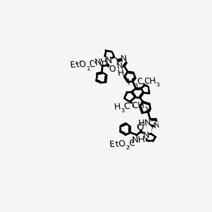 CCOC(=O)NC(C(=O)N1CCC[C@H]1c1ncc(-c2ccc(-c3c4c(c(-c5ccc(-c6cnc([C@@H]7CCCN7C(=O)C(NC(=O)OCC)c7ccccc7)[nH]6)cc5)c5c3C(C)(C)CC5)C(C)(C)CC4)cc2)[nH]1)c1ccccc1